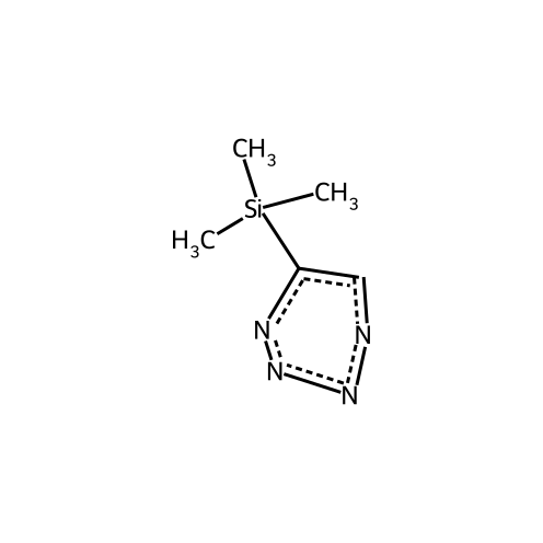 C[Si](C)(C)c1cnnnn1